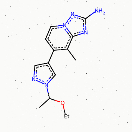 CCOC(C)n1cc(-c2ccn3nc(N)nc3c2C)cn1